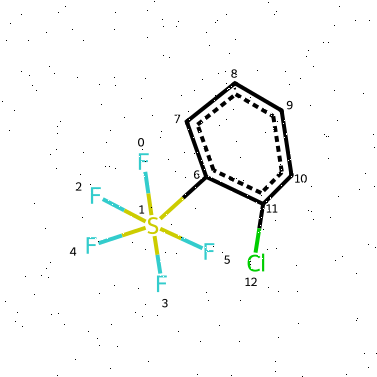 FS(F)(F)(F)(F)c1c[c]ccc1Cl